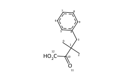 CC(C)(Cc1ccccc1)C(=O)C(=O)O